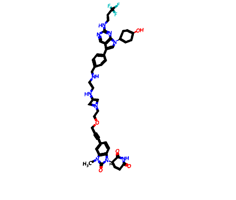 Cn1c(=O)n([C@H]2CCC(=O)NC2=O)c2ccc(C#CCOCCN3CC(NCCNCc4ccc(-c5cn([C@H]6CC[C@H](O)CC6)c6nc(NCCC(F)(F)F)ncc56)cc4)C3)cc21